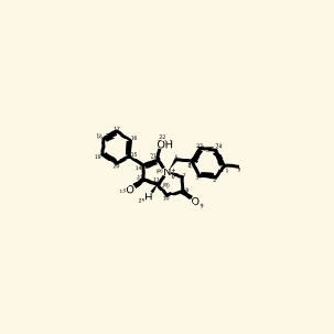 Cc1ccc(C[N@@+]23CC(=O)C[C@@H]2C(=O)C(c2ccccc2)=C3O)cc1